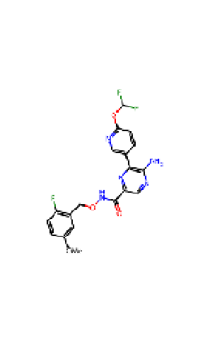 COc1ccc(F)c(CONC(=O)c2cnc(N)c(-c3ccc(OC(F)F)nc3)n2)c1